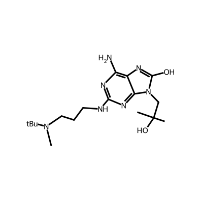 CN(CCCNc1nc(N)c2nc(O)n(CC(C)(C)O)c2n1)C(C)(C)C